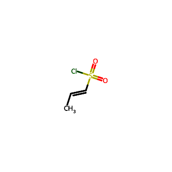 C/C=C/S(=O)(=O)Cl